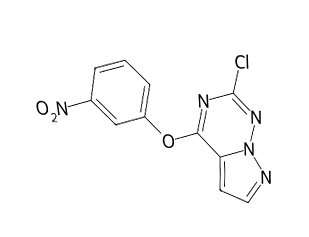 O=[N+]([O-])c1cccc(Oc2nc(Cl)nn3nccc23)c1